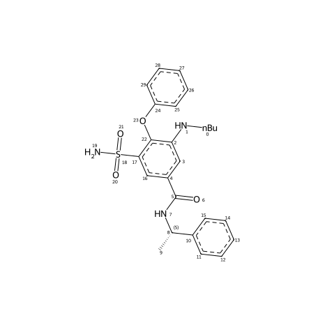 CCCCNc1cc(C(=O)N[C@@H](C)c2ccccc2)cc(S(N)(=O)=O)c1Oc1ccccc1